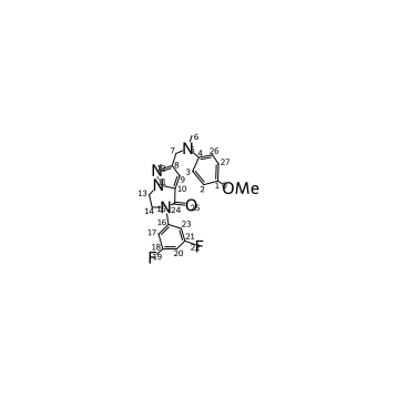 COc1ccc(N(C)Cc2cc3n(n2)CCN(c2cc(F)cc(F)c2)C3=O)cc1